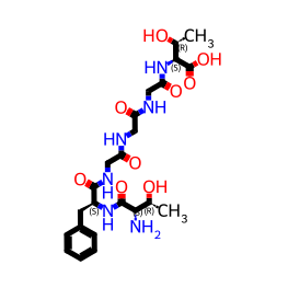 C[C@@H](O)[C@H](N)C(=O)N[C@@H](Cc1ccccc1)C(=O)NCC(=O)NCC(=O)NCC(=O)N[C@H](C(=O)O)[C@@H](C)O